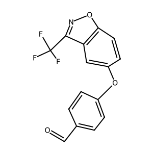 O=Cc1ccc(Oc2ccc3onc(C(F)(F)F)c3c2)cc1